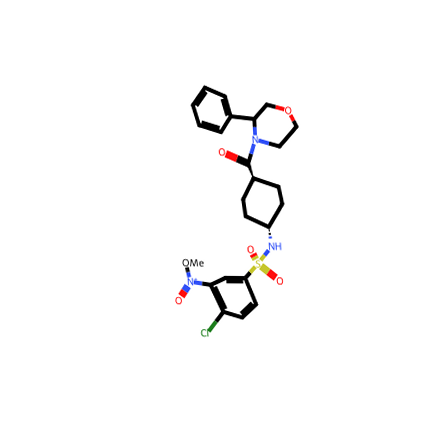 CO[N+](=O)c1cc(S(=O)(=O)N[C@H]2CC[C@H](C(=O)N3CCOCC3c3ccccc3)CC2)ccc1Cl